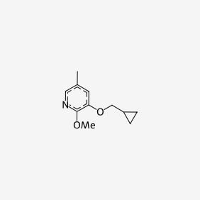 COc1ncc(C)cc1OCC1CC1